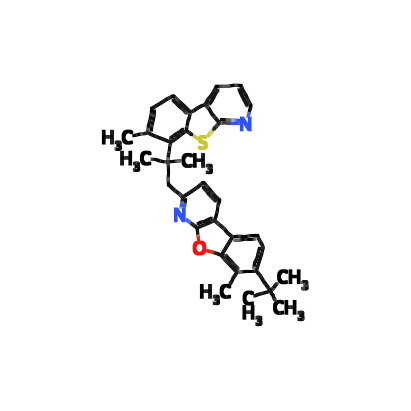 Cc1ccc2c(sc3ncccc32)c1C(C)(C)Cc1ccc2c(n1)oc1c(C)c(C(C)(C)C)ccc12